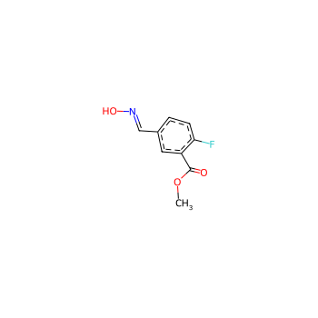 COC(=O)c1cc(C=NO)ccc1F